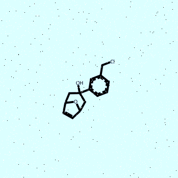 OC1(c2cccc(CCl)c2)CC2C=CC(C1)O2